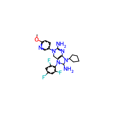 COc1ccc(N2CC3=C(N=C2N)N(C2CCCC2)C(N)N3c2c(F)cc(F)cc2F)cn1